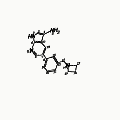 Nc1c[nH]c2ncc(-c3cccc(CN4CCC4)c3)cc12